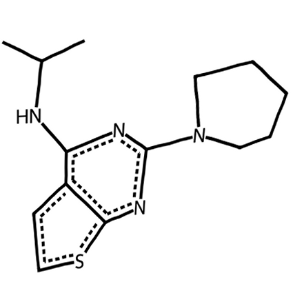 CC(C)Nc1nc(N2CCCCC2)nc2sccc12